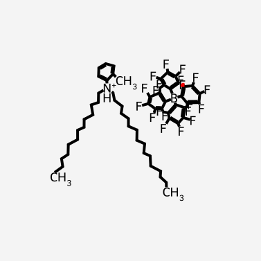 CCCCCCCCCCCCCCCC[NH+](CCCCCCCCCCCCCC)c1ccccc1C.Fc1c(F)c(F)c([B-](c2c(F)c(F)c(F)c(F)c2F)(c2c(F)c(F)c(F)c(F)c2F)c2c(F)c(F)c(F)c(F)c2F)c(F)c1F